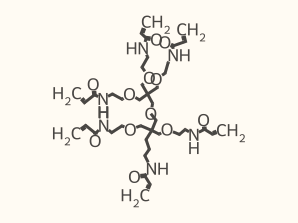 C=CC(=O)NCCCC(COCCNC(=O)C=C)(COCCNC(=O)C=C)COCC(COCCNC(=O)C=C)(COCCNC(=O)C=C)COCCNC(=O)C=C